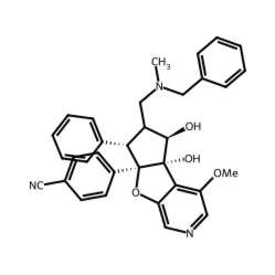 COc1cncc2c1[C@]1(O)[C@H](O)C(CN(C)Cc3ccccc3)[C@@H](c3ccccc3)[C@]1(c1ccc(C#N)cc1)O2